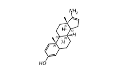 C[C@]12C=CC(O)=CC1CC[C@@H]1[C@@H]2CC[C@]2(C)C(N)=CC[C@@H]12